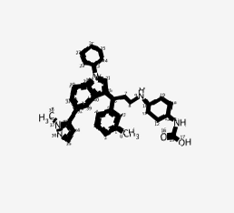 Cc1cccc(C(CCNC2CCC(NC(=O)O)CC2)c2cn(C3CCCCC3)c3ccc(-c4ccnn4C)cc23)c1